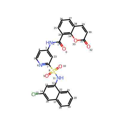 O=C(Nc1ccnc(S(=O)(=O)Nc2cc(Cl)cc3ccccc23)c1)c1cccc2ccc(=O)oc12